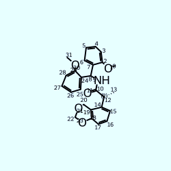 COc1ccccc1C(NC(=O)[C@H](C)c1cccc2c1COCO2)c1ccccc1OC